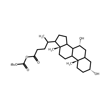 CC(C)COC(=O)OC(=O)CCC(C)C1CCC2C3C(CC[C@]12C)[C@@]1(C)CC[C@@H](O)CC1C[C@H]3O